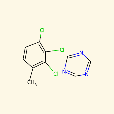 Cc1ccc(Cl)c(Cl)c1Cl.c1ncncn1